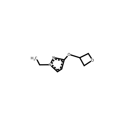 CCn1ccc(OC2COC2)n1